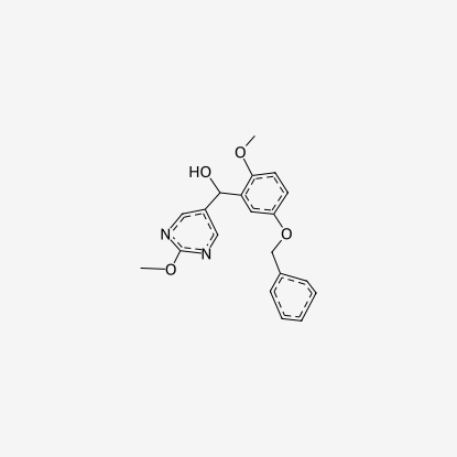 COc1ncc(C(O)c2cc(OCc3ccccc3)ccc2OC)cn1